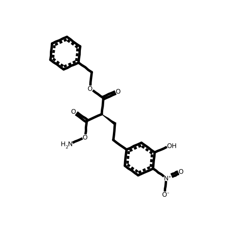 NOC(=O)[C@H](CCc1ccc([N+](=O)[O-])c(O)c1)C(=O)OCc1ccccc1